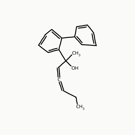 CCC=C=CC(C)(O)c1ccccc1-c1ccccc1